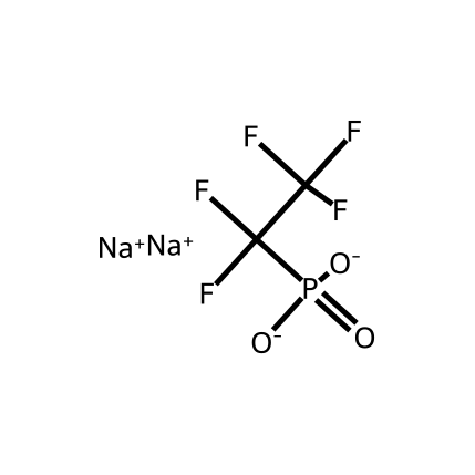 O=P([O-])([O-])C(F)(F)C(F)(F)F.[Na+].[Na+]